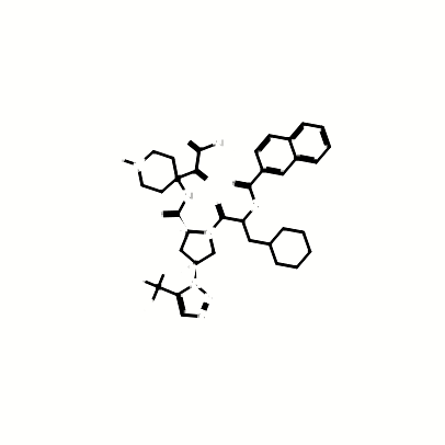 CC(C)(O)c1cnnn1[C@H]1C[C@@H](C(=O)NC2(C(=O)C(N)=O)CC[S+]([O-])CC2)N(C(=O)C(CC2CCCCC2)NC(=O)c2ccc3ccccc3c2)C1